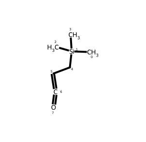 C[Si](C)(C)CC=C=O